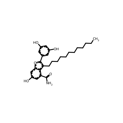 CCCCCCCCCCCCc1c(-c2cc(O)cc(O)c2)oc2cc(O)cc(C(N)=O)c12